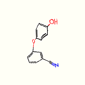 N#Cc1cccc(Oc2ccc(O)cc2)c1